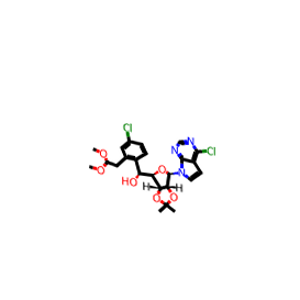 COC(Cc1cc(Cl)ccc1[C@H](O)[C@H]1O[C@@H](n2ccc3c(Cl)ncnc32)[C@@H]2OC(C)(C)O[C@@H]21)OC